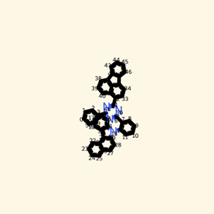 c1ccc(-c2nc(-c3ccccc3-n3c4ccccc4c4c5ccccc5ccc43)nc(-c3ccc4c5c(cccc35)-c3ccccc3-4)n2)cc1